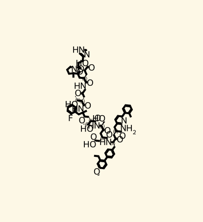 CCc1cc(OC)ccc1-c1ccc(C[C@H](NC(=O)[C@H](CC(=O)O)CC(=O)[C@H](CO)NC(=O)[C@@H](CC(=O)C(C)(Cc2ccccc2F)NC(=O)[C@@H](CC(=O)CNC(=O)[C@H](CCC(=O)O)CC(=O)C2(C)CCCN2C(=O)CCc2c[nH]cn2)[C@@H](C)O)[C@@H](C)O)C(=O)C[C@@H](Cc2ccc(-c3ccccc3C)nc2)C(N)=O)cc1